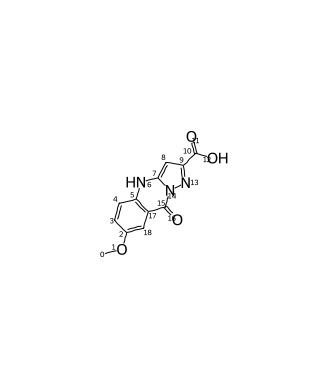 COc1ccc2[nH]c3cc(C(=O)O)nn3c(=O)c2c1